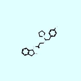 O=C(CC[C@H](Cc1ccc(O)cc1)N1CCCC1)N[C@@H]1c2ccccc2C[C@@H]1O